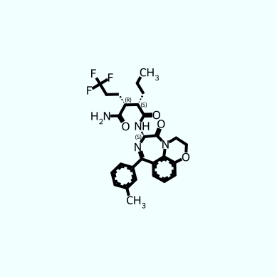 CCC[C@H](C(=O)N[C@H]1N=C(c2cccc(C)c2)c2cccc3c2N(CCO3)C1=O)[C@@H](CCC(F)(F)F)C(N)=O